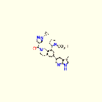 Cc1c[nH]c2ncc(-c3cc4c(c(C5CCCN5C(=O)O)c3)CN(C(=O)c3cnn(C5CC5)c3)CC4)cc12